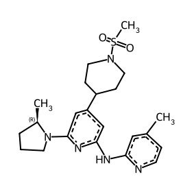 Cc1ccnc(Nc2cc(C3CCN(S(C)(=O)=O)CC3)cc(N3CCC[C@H]3C)n2)c1